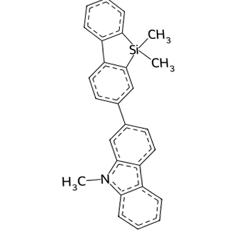 Cn1c2ccccc2c2ccc(-c3ccc4c(c3)[Si](C)(C)c3ccccc3-4)cc21